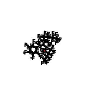 O=S(=O)(c1c(F)c(F)c(F)c(F)c1F)C(S(=O)(=O)C(F)(F)C(F)(F)C(F)(F)C(F)(F)F)S(=O)(=O)C(F)(F)C(F)(F)C(F)(F)C(F)(F)F